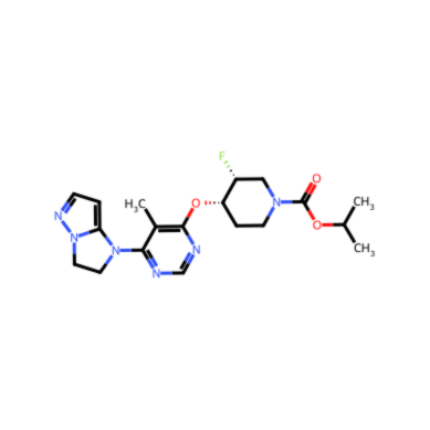 Cc1c(O[C@H]2CCN(C(=O)OC(C)C)C[C@H]2F)ncnc1N1CCn2nccc21